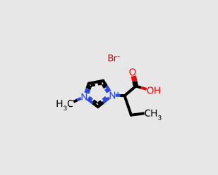 CCC(C(=O)O)[n+]1ccn(C)c1.[Br-]